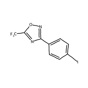 FC(F)(F)c1nc(-c2ccc(I)cc2)no1